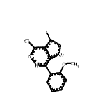 COc1ccccc1-c1nnc(Cl)c2c(I)c[nH]c12